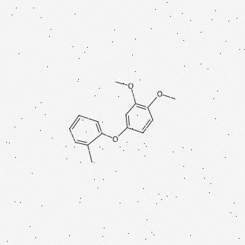 [CH2]c1ccccc1Oc1ccc(OC)c(OC)c1